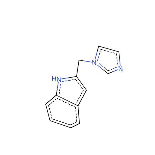 c1ccc2[nH]c(Cn3ccnc3)cc2c1